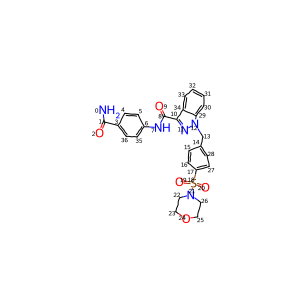 NC(=O)c1ccc(NC(=O)c2nn(Cc3ccc(S(=O)(=O)N4CCOCC4)cc3)c3ccccc23)cc1